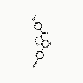 COc1ccc(C(=O)N2CCOc3c(-c4ccc(C#N)cc4)cncc32)cc1